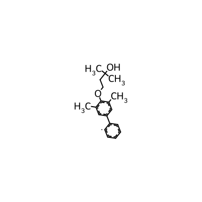 Cc1cc(-c2[c]cccc2)cc(C)c1OCCC(C)(C)O